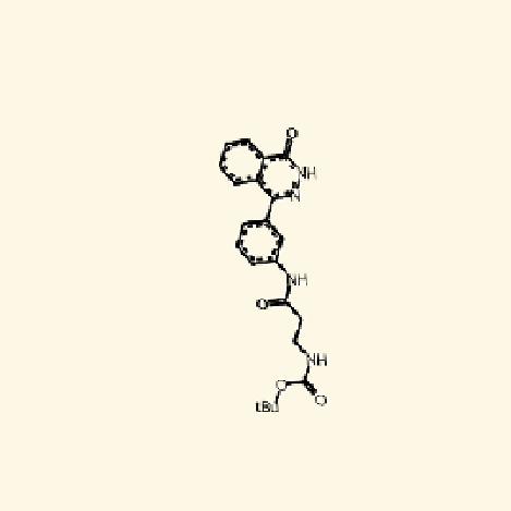 CC(C)(C)OC(=O)NCCC(=O)Nc1cccc(-c2n[nH]c(=O)c3ccccc23)c1